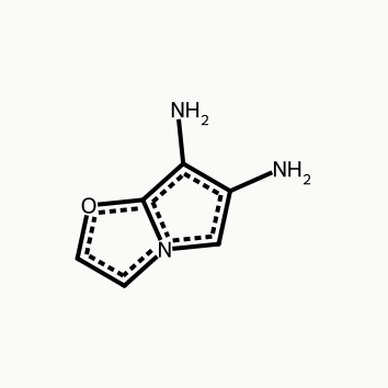 Nc1cn2ccoc2c1N